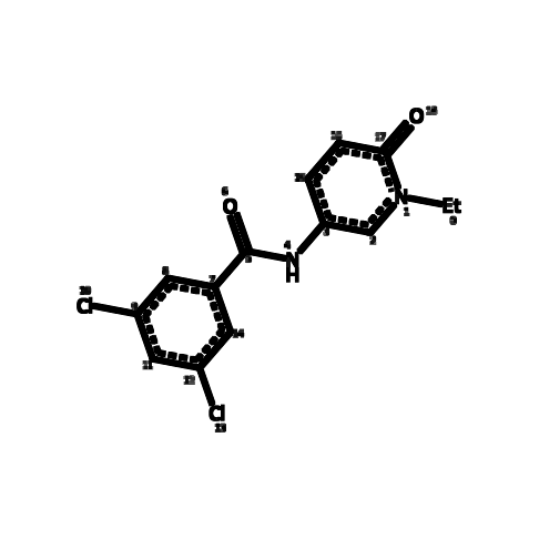 CCn1cc(NC(=O)c2cc(Cl)cc(Cl)c2)ccc1=O